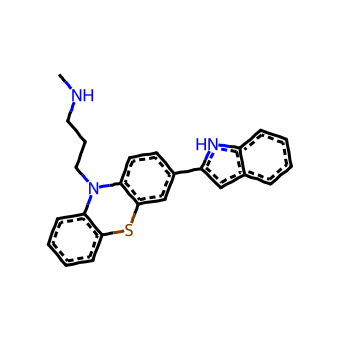 CNCCCN1c2ccccc2Sc2cc(-c3cc4ccccc4[nH]3)ccc21